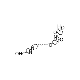 O=Cc1ccc(N2CCN(CCCCCOc3ccn4c(=O)n(C5CCC(=O)NC5=O)nc4c3)CC2)nc1